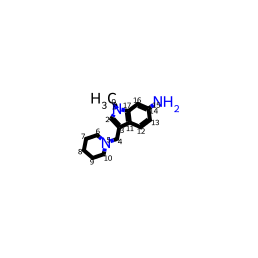 Cn1cc(CN2CCCCC2)c2ccc(N)cc21